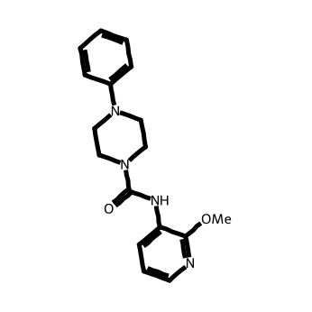 COc1ncccc1NC(=O)N1CCN(c2ccccc2)CC1